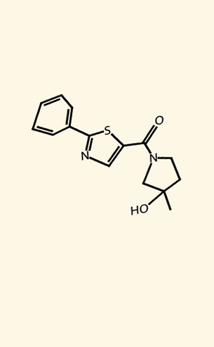 CC1(O)CCN(C(=O)c2cnc(-c3ccccc3)s2)C1